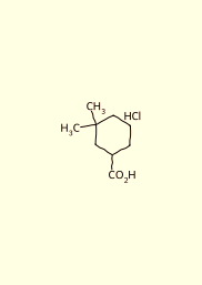 CC1(C)CCCC(C(=O)O)C1.Cl